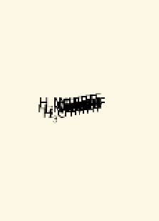 CC(C(F)(F)C(F)(F)C(F)(F)C(F)(F)C(F)(F)C(F)(F)C(F)(F)C(F)(F)F)[Si](N)(N)N